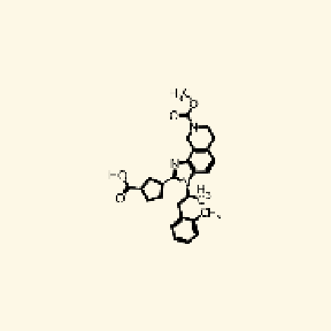 COC(=O)N1CCc2ccc3c(nc([C@H]4CC[C@@H](C(=O)O)C4)n3[C@@H](C)Cc3ccccc3C)c2C1